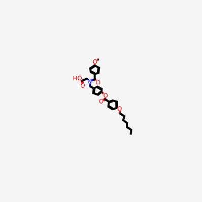 CCCCCCCOc1ccc(C(=O)Oc2ccc(CN(CC(=O)O)C(=O)c3ccc(OC)cc3)cc2)cc1